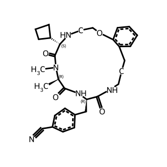 C[C@@H]1C(=O)N[C@H](Cc2ccc(C#N)cc2)C(=O)NCCCc2ccccc2OCCN[C@@H](C2CCC2)C(=O)N1C